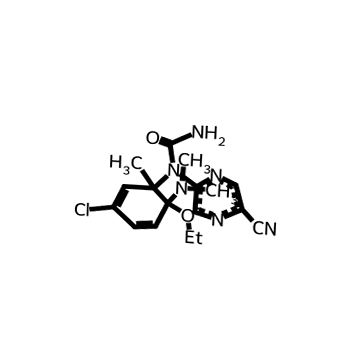 CCOC1(N(C)C)C=CC(Cl)=CC1(C)N(C(N)=O)c1cnc(C#N)cn1